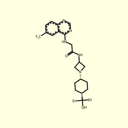 CCC(O)(CC)[C@H]1CC[C@H](N2CC(NC(=O)CNc3ncnc4ccc(C(F)(F)F)cc34)C2)CC1